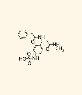 CNC(=O)CC(NC(=O)Cc1ccccc1)c1ccc(NS(=O)(=O)O)cc1